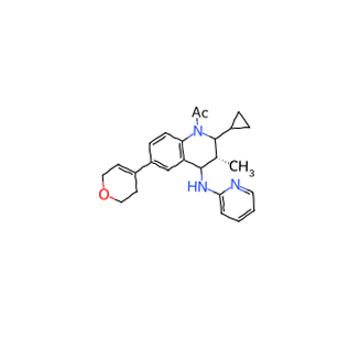 CC(=O)N1c2ccc(C3=CCOCC3)cc2C(Nc2ccccn2)[C@@H](C)C1C1CC1